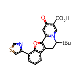 CC(C)(C)C1Cc2c(oc3c(-c4cscn4)cccc23)-c2cc(=O)c(C(=O)O)cn21